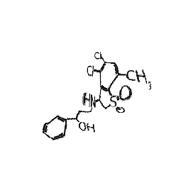 Cc1cc(Cl)c(Cl)c2c1S(=O)(=O)CC2NCCC(O)c1ccccc1